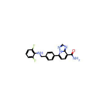 NC(=O)c1ccc(-c2ccc(CNc3c(F)cccc3F)cc2)n2n[c]nc12